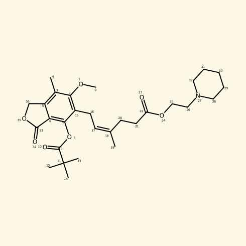 COc1c(C)c2c(c(OC(=O)C(C)(C)C)c1CC=C(C)CCC(=O)OCCN1CCCCC1)C(=O)OC2